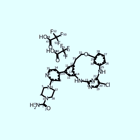 NC(=O)N1CCN(c2cc(-c3cc4cc(c3)Nc3ncc(Cl)c(n3)Nc3cccc(c3)OCC4)ccn2)CC1.O=C(O)C(F)(F)F.O=C(O)C(F)(F)F